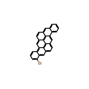 Brc1cccc2c1cc1ccc3cc4c5ccccc5cc5ccc6cc2c1c3c6c54